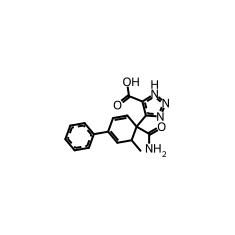 CC1C=C(c2ccccc2)C=CC1(C(N)=O)c1nn[nH]c1C(=O)O